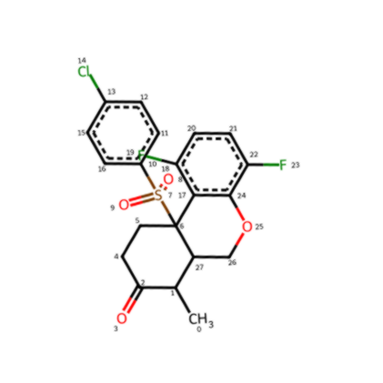 CC1C(=O)CCC2(S(=O)(=O)c3ccc(Cl)cc3)c3c(F)ccc(F)c3OCC12